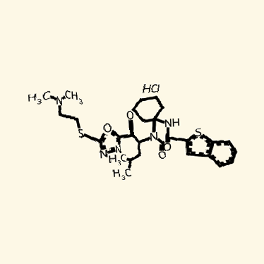 CC(C)CC(C(=O)c1nnc(SCCN(C)C)o1)N(C=O)C1(NC(=O)c2cc3ccccc3s2)CCCCC1.Cl